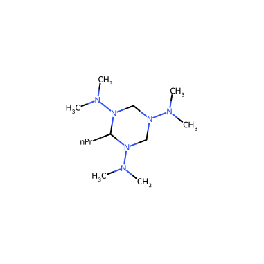 CCCC1N(N(C)C)CN(N(C)C)CN1N(C)C